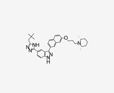 C[C@@H]1CCC[C@H](C)N1CCCOc1ccc2ccc(-c3n[nH]c4ccc(-c5nnc(CC(C)(C)C)[nH]5)cc34)cc2c1